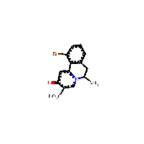 CC1Cc2cccc(Br)c2-c2cc(=O)c(C(=O)O)cn21